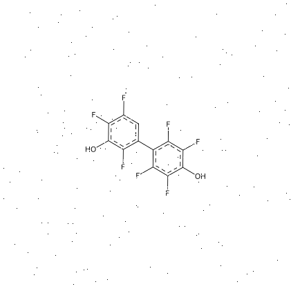 Oc1c(F)c(F)cc(-c2c(F)c(F)c(O)c(F)c2F)c1F